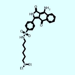 CCN(CC)CCCCCCNS(=O)(=O)c1ccc(C2=C3C(=O)c4ccccc4C(N)=C3C(=O)N2)cc1